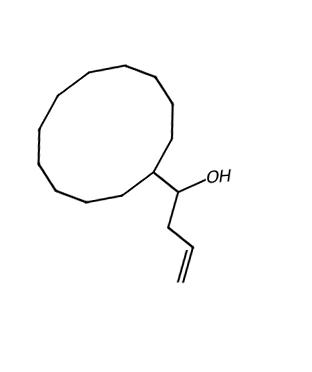 C=CCC(O)C1CCCCCCCCCCC1